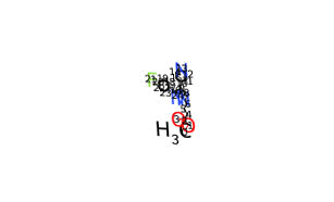 COC(=O)CCCn1cc(-c2ccncc2)c(-c2ccc(F)cc2)n1